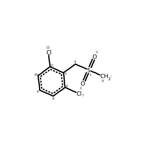 [CH2]S(=O)(=O)Cc1c(Cl)cccc1Cl